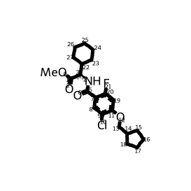 COC(=O)[C@H](NC(=O)c1cc(Cl)c(OCC2CCCC2)cc1F)C1CCCCC1